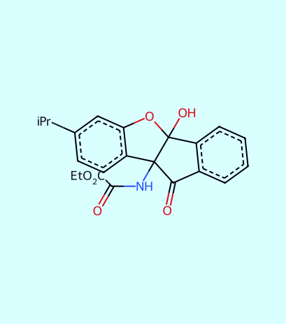 CCOC(=O)C(=O)NC12C(=O)c3ccccc3C1(O)Oc1cc(C(C)C)ccc12